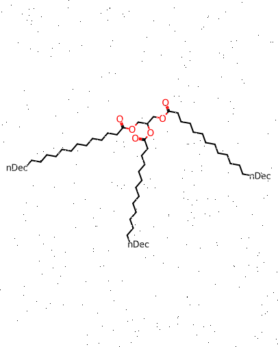 CCCCCCCCCCCCCCCCCCCCCCC(=O)OCC(COC(=O)CCCCCCCCCCCCCCCCCCCCCC)OC(=O)CCCCCCCCCCCCCCCCCCCCCC